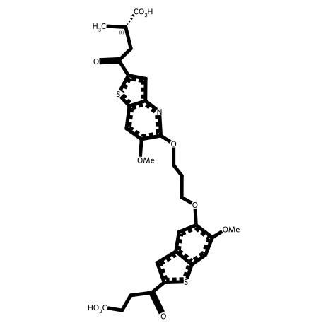 COc1cc2sc(C(=O)CCC(=O)O)cc2cc1OCCCOc1nc2cc(C(=O)C[C@H](C)C(=O)O)sc2cc1OC